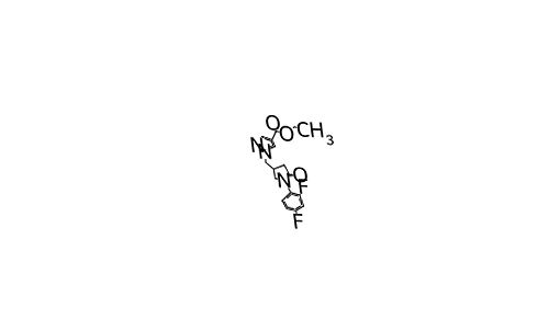 CCOC(=O)c1cnn(CC2CC(=O)N(c3ccc(F)cc3F)C2)c1